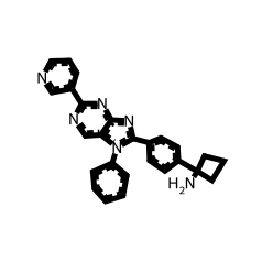 NC1(c2ccc(-c3nc4nc(-c5cccnc5)ncc4n3-c3ccccc3)cc2)CCC1